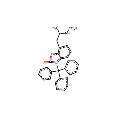 CC(Cc1cccc2c1oc(=O)n2C(c1ccccc1)(c1ccccc1)c1ccccc1)NC(=O)O